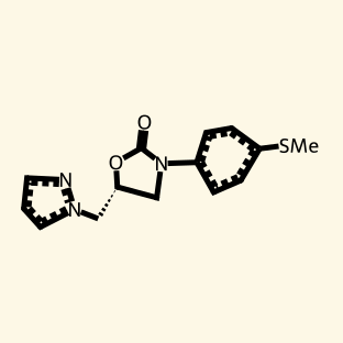 CSc1ccc(N2C[C@H](Cn3cccn3)OC2=O)cc1